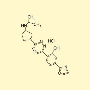 CC(C)NC1CCN(c2ncc(-c3ccc(-c4ncco4)cc3O)nn2)C1.Cl